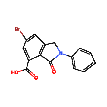 O=C(O)c1cc(Br)cc2c1C(=O)N(c1ccccc1)C2